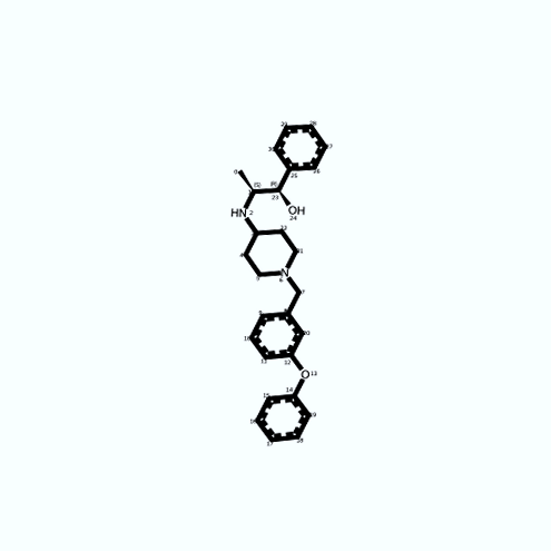 C[C@H](NC1CCN(Cc2cccc(Oc3ccccc3)c2)CC1)[C@H](O)c1ccccc1